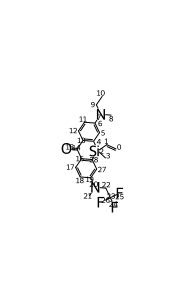 C=C[Si]1(C)c2cc(N(C)CC)ccc2C(=O)c2ccc(N(C)CC(F)(F)F)cc21